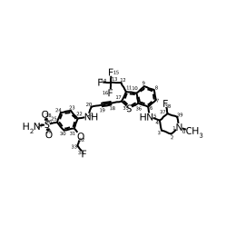 CN1CCC(Nc2cccc3c(CC(F)(F)F)c(C#CCNc4ccc(S(N)(=O)=O)cc4OCF)sc23)C(F)C1